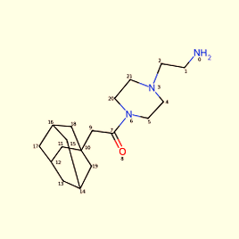 NCCN1CCN(C(=O)CC23CC4CC(CC(C4)C2)C3)CC1